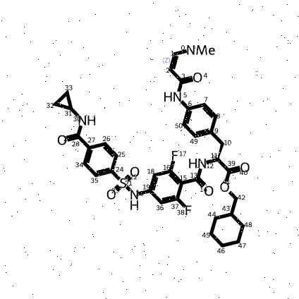 CN/C=C\C(=O)Nc1ccc(C[C@H](NC(=O)c2c(F)cc(NS(=O)(=O)c3ccc(C(=O)NC4CC4)cc3)cc2F)C(=O)OCC2CCCCC2)cc1